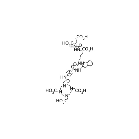 O=C(O)CC[C@H](NC(=O)NC(CCCCNC(=O)[C@H](Cc1ccc2ccccc2c1)NC(=O)C12CCC(NC(=O)CN3CCN(CC(=O)O)CCN(CC(=O)O)CCN(CC(=O)O)CC3)(CC1)CC2)C(=O)O)C(=O)O